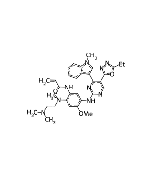 C=CC(=O)Nc1cc(Nc2ncc(-c3nnc(CC)o3)c(-c3cn(C)c4ccccc34)n2)c(OC)cc1N(C)CCN(C)C